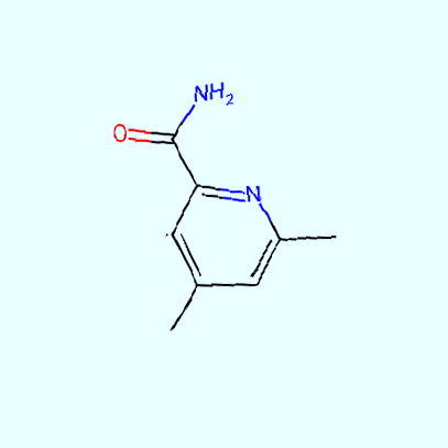 Cc1[c]c(C(N)=O)nc(C)c1